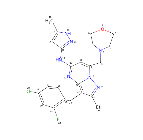 CCc1nn2c(CN3CCOCC3)cc(Nc3cc(C)[nH]n3)nc2c1Cc1ccc(Cl)cc1F